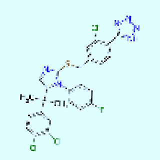 CC(C)(c1ccc(Cl)c(Cl)c1)c1cnc(SCc2ccc(-c3nnn[nH]3)c(Cl)c2)n1-c1ccc(F)cc1